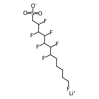 O=S(=O)([O-])CC(F)C(F)C(F)C(F)C(F)C(F)CCCCCF.[Li+]